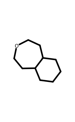 C1CCC2CCOCC[C]2C1